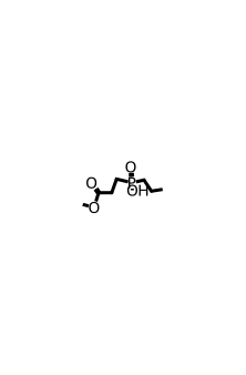 CCCP(=O)(O)CCC(=O)OC